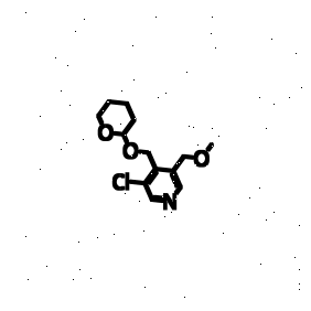 COCc1cncc(Cl)c1COC1CCCCO1